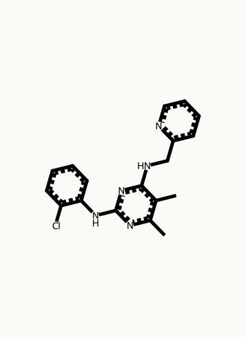 Cc1nc(Nc2ccccc2Cl)nc(NCc2ccccn2)c1C